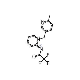 Cc1ccc(Cn2cccc/c2=N\C(=O)C(F)(F)F)cn1